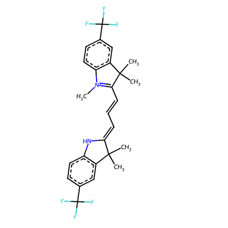 C[N+]1=C(C=CC=C2Nc3ccc(C(F)(F)F)cc3C2(C)C)C(C)(C)c2cc(C(F)(F)F)ccc21